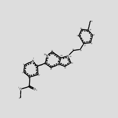 COC(=O)c1ccnc(-c2cc3ccn(CCc4ccc(C)cc4)c3cn2)c1